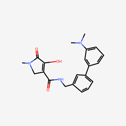 CN1CC(C(=O)NCc2cccc(-c3cccc(N(C)C)c3)c2)=C(O)C1=O